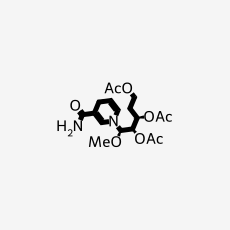 CO[C@H]([C@H](OC(C)=O)[C@@H](CCOC(C)=O)OC(C)=O)N1C=CCC(C(N)=O)=C1